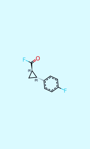 O=C(F)[C@@H]1C[C@H]1c1ccc(F)cc1